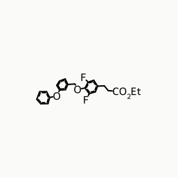 CCOC(=O)CCc1cc(F)c(OCc2cccc(Oc3ccccc3)c2)c(F)c1